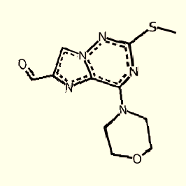 CSc1nc(N2CCOCC2)c2nc(C=O)cn2n1